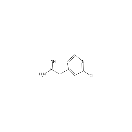 N=C(N)Cc1ccnc(Cl)c1